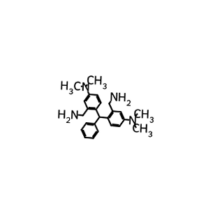 CN(C)c1ccc(C(c2ccccc2)c2ccc(N(C)C)cc2CN)c(CN)c1